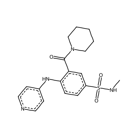 CNS(=O)(=O)c1ccc(Nc2ccncc2)c(C(=O)N2CCCCC2)c1